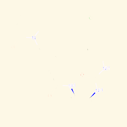 O=C(Nc1ccc(Cl)cc1)N[C@H]1CCC[C@H]1NC(=O)c1ccc(-n2ccccc2=O)cc1